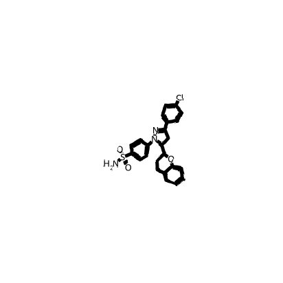 NS(=O)(=O)c1ccc(N2N=C(c3ccc(Cl)cc3)CC2C2CCc3ccccc3O2)cc1